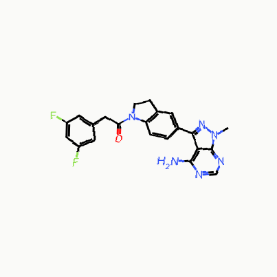 Cn1nc(-c2ccc3c(c2)CCN3C(=O)Cc2cc(F)cc(F)c2)c2c(N)ncnc21